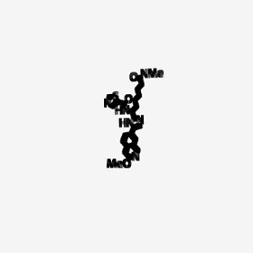 CNC(=O)CCCCCC(NC(=O)c1cncs1)c1ncc(-c2ccc3cc(OC)ncc3c2)[nH]1